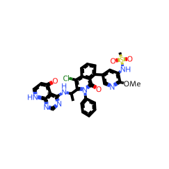 COc1ncc(-c2cccc3c(Cl)c(C(C)Nc4ncnc5[nH]ccc(=O)c45)n(-c4ccccc4)c(=O)c23)cc1NS(C)(=O)=O